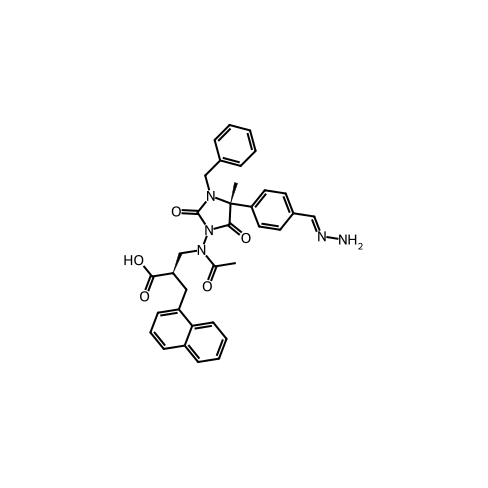 CC(=O)N(C[C@@H](Cc1cccc2ccccc12)C(=O)O)N1C(=O)N(Cc2ccccc2)[C@](C)(c2ccc(C=NN)cc2)C1=O